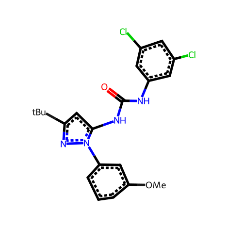 COc1cccc(-n2nc(C(C)(C)C)cc2NC(=O)Nc2cc(Cl)cc(Cl)c2)c1